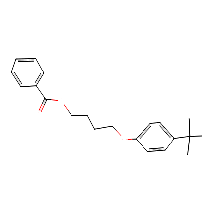 CC(C)(C)c1ccc(OCCCCOC(=O)c2ccccc2)cc1